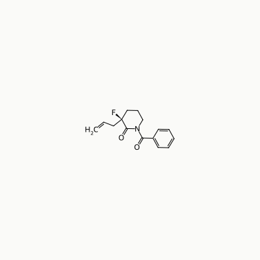 C=CC[C@]1(F)CCCN(C(=O)c2ccccc2)C1=O